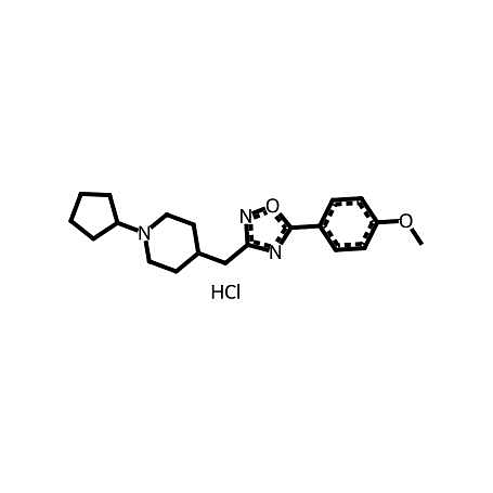 COc1ccc(-c2nc(CC3CCN(C4CCCC4)CC3)no2)cc1.Cl